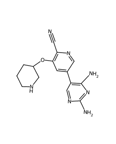 N#Cc1ncc(-c2cnc(N)nc2N)cc1OC1CCCNC1